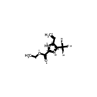 C=Cc1[nH]c(C(=O)OCC)nc1C(F)(F)F